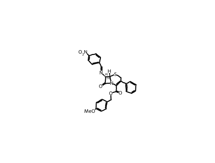 COc1ccc(COC(=O)C2=C(c3ccccc3)CS[C@H]3[C@H](N=Cc4ccc([N+](=O)[O-])cc4)C(=O)N23)cc1